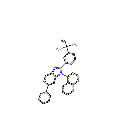 CC(C)(C)c1cccc(-c2nc3ccc(-c4ccccc4)cc3n2-c2cccc3ccccc23)c1